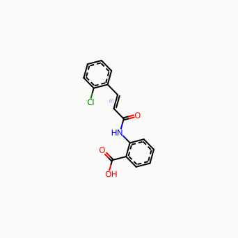 O=C(/C=C/c1ccccc1Cl)Nc1ccccc1C(=O)O